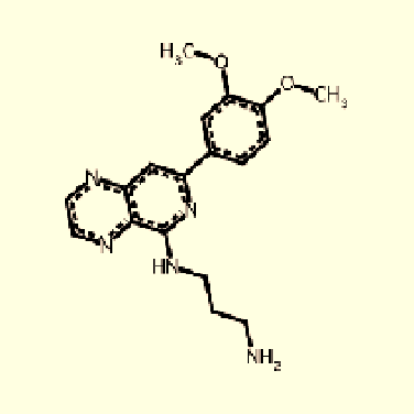 COc1ccc(-c2cc3nccnc3c(NCCCN)n2)cc1OC